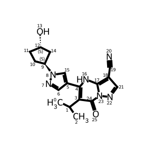 CC(C)c1c(-c2cnn([C@H]3CC[C@H](O)C3)c2)[nH]c2c(C#N)cnn2c1=O